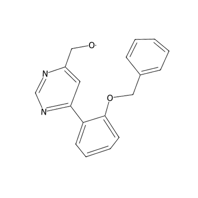 [O]Cc1cc(-c2ccccc2OCc2ccccc2)ncn1